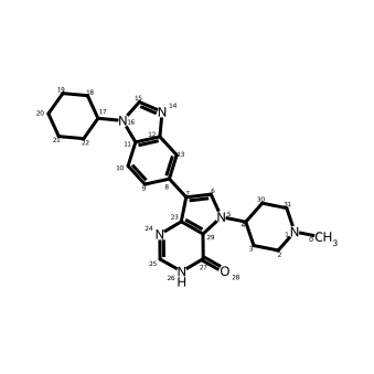 CN1CCC(n2cc(-c3ccc4c(c3)ncn4C3CCCCC3)c3nc[nH]c(=O)c32)CC1